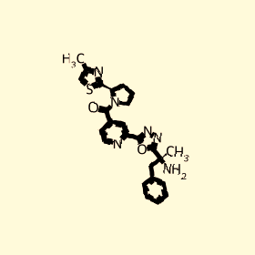 Cc1csc([C@H]2CCCN2C(=O)c2ccnc(-c3nnc([C@@](C)(N)Cc4ccccc4)o3)c2)n1